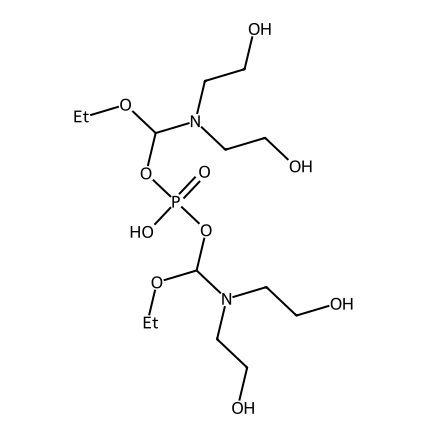 CCOC(OP(=O)(O)OC(OCC)N(CCO)CCO)N(CCO)CCO